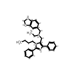 CCCCn1c(-c2ccccc2)nc(-c2ccccc2)c1CN(CC)Cc1ccc2c(c1)OCO2